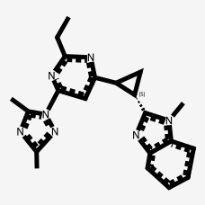 CCc1nc(C2C[C@@H]2c2nc3ccccc3n2C)cc(-n2nc(C)nc2C)n1